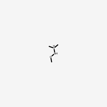 CON[SH](C)C